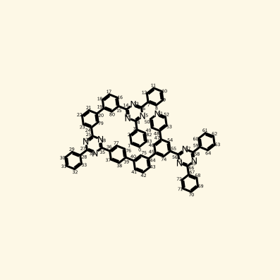 c1ccc(-c2nc(-c3ccccc3)nc(-c3cccc(-c4cccc(-c5nc(-c6ccccc6)nc(-c6ccc(-c7cccc(-c8cc(-c9ccncc9)cc(-c9nc(-c%10ccccc%10)nc(-c%10ccccc%10)n9)c8)c7)cc6)n5)c4)c3)n2)cc1